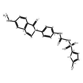 NNc1ccc2c(=O)n(-c3ccc(NC(=O)NS(=O)(=O)c4ccc(Cl)s4)cc3)ccc2c1